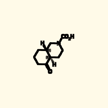 O=C1CCC[C@@H]2CN(C(=O)O)CC[C@@H]12